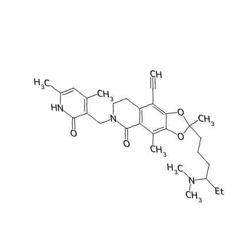 C#Cc1c2c(c(C)c3c1OC(C)(CCCC(CC)N(C)C)O3)C(=O)N(Cc1c(C)cc(C)[nH]c1=O)CC2